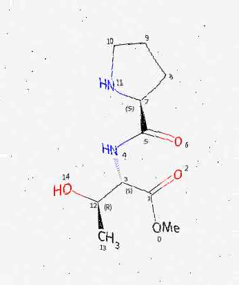 COC(=O)[C@@H](NC(=O)[C@@H]1CCCN1)[C@@H](C)O